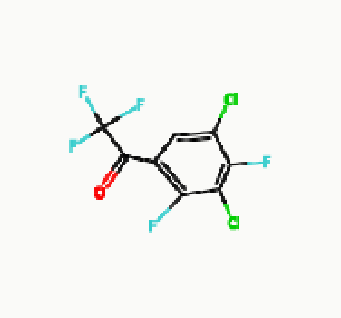 O=C(c1cc(Cl)c(F)c(Cl)c1F)C(F)(F)F